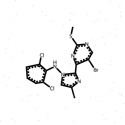 CSc1ncc(Br)c(-c2nc(C)cn2Nc2c(Cl)cccc2Cl)n1